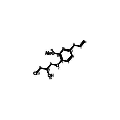 C=CCc1ccc(OCC(O)CCl)c(OC)c1